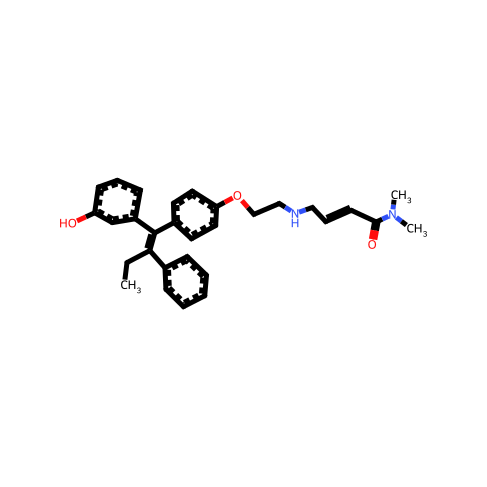 CC/C(=C(/c1ccc(OCCNC/C=C/C(=O)N(C)C)cc1)c1cccc(O)c1)c1ccccc1